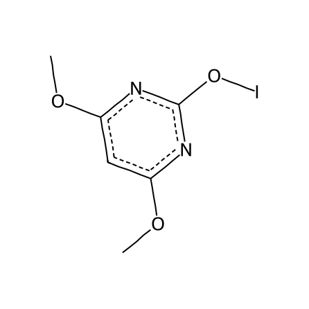 COc1cc(OC)nc(OI)n1